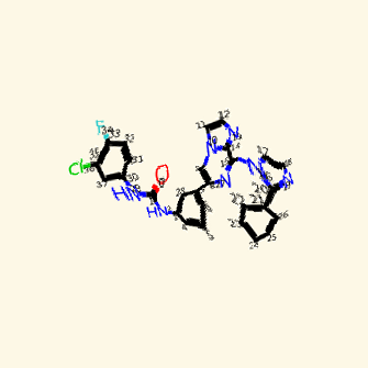 O=C(Nc1cccc(-c2cn3ccnc3c(-n3ccnc3-c3ccccc3)n2)c1)Nc1ccc(F)c(Cl)c1